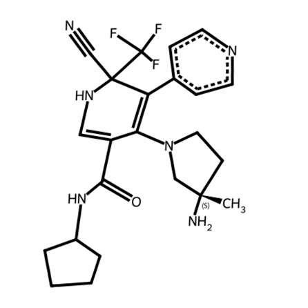 C[C@]1(N)CCN(C2=C(c3ccncc3)C(C#N)(C(F)(F)F)NC=C2C(=O)NC2CCCC2)C1